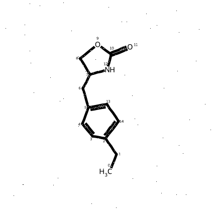 CCc1ccc(CC2COC(=O)N2)cc1